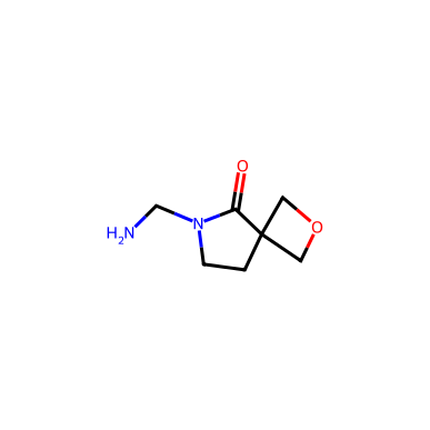 NCN1CCC2(COC2)C1=O